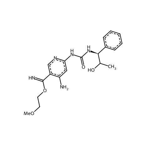 COCCOC(=N)c1cnc(NC(=O)N[C@@H](c2ccccc2)C(C)O)cc1N